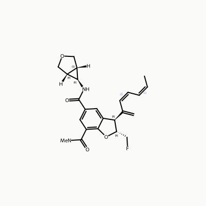 C=C(/C=C\C=C/C)[C@@H]1c2cc(C(=O)N[C@H]3[C@@H]4COC[C@@H]43)cc(C(=O)NC)c2O[C@H]1CF